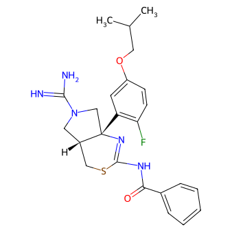 CC(C)COc1ccc(F)c([C@]23CN(C(=N)N)C[C@H]2CSC(NC(=O)c2ccccc2)=N3)c1